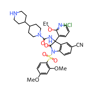 CCOc1ncccc1C1(NC(=O)N2CCC(C3CCNCC3)CC2)C(=O)N(S(=O)(=O)c2ccc(OC)cc2OC)c2ccc(C#N)cc21.Cl